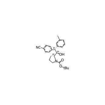 Cc1cccc([C@@H](c2ccc(C#N)cc2)[C@@H](O)[C@H]2CCCN2C(=O)OC(C)(C)C)c1